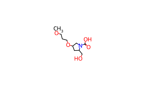 COCCCOC1CC(CO)N(C(=O)O)C1